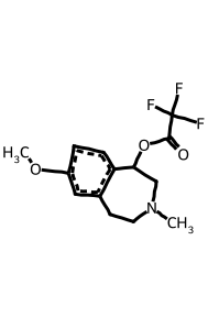 COc1ccc2c(c1)CCN(C)CC2OC(=O)C(F)(F)F